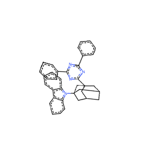 c1ccc(-c2nc(-c3ccccc3)nc(C34CC5CC(C3)CC(n3c6ccccc6c6ccccc63)(C5)C4)n2)cc1